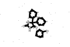 CCc1ccccc1.O=C1NC(=O)C(c2ccccc2)(c2ccccc2)N1